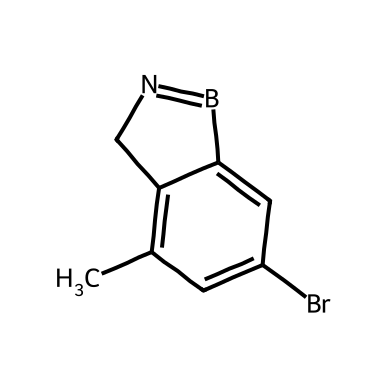 Cc1cc(Br)cc2c1CN=B2